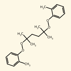 Cc1ccccc1OOC(C)(C)CCC(C)(C)OOc1ccccc1C